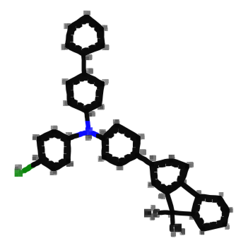 CC1(C)c2ccccc2-c2ccc(-c3ccc(N(c4ccc(Br)cc4)c4ccc(-c5ccccc5)cc4)cc3)cc21